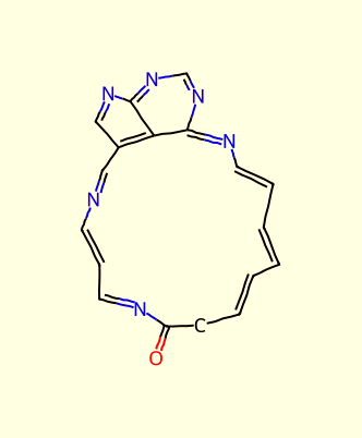 O=C1C/C=C/C=C/C=C/N=c2/ncnc3c2=C(C=N3)/C=N/C=C/C=N/1